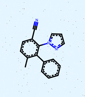 Cc1ccc(C#N)c(-n2cccn2)c1-c1ccccc1